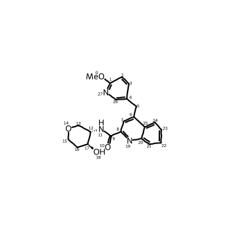 COc1ccc(Cc2cc(C(=O)N[C@H]3COCC[C@@H]3O)nc3ccccc23)cn1